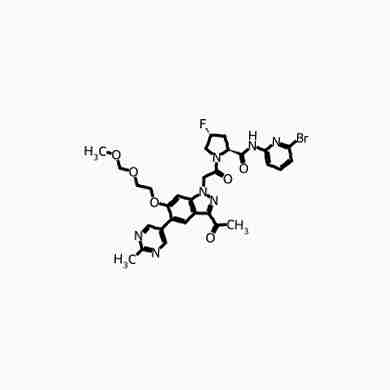 COCOCCOc1cc2c(cc1-c1cnc(C)nc1)c(C(C)=O)nn2CC(=O)N1C[C@H](F)C[C@H]1C(=O)Nc1cccc(Br)n1